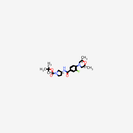 C[C@@H]1CN(c2ccc(C(=O)N[C@@H]3CCN(C(=O)OC(C)(C)C)C3)cc2F)C[C@H](C)O1